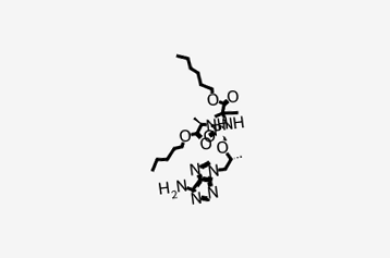 CCCCCCOC(=O)C(C)(C)N[P@](=O)(CO[C@H](C)Cn1cnc2c(N)ncnc21)N[C@H](C)C(=O)OCCCCC